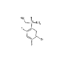 C[C@](N)(CO)c1cc(Br)c(F)cc1F